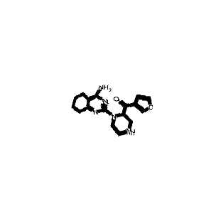 Nc1nc(N2CCNCC2C(=O)c2ccoc2)nc2c1CCCC2